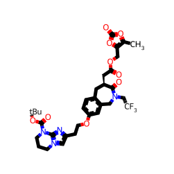 Cc1oc(=O)oc1COC(=O)C[C@@H]1Cc2ccc(OCCc3cn4c(n3)N(C(=O)OC(C)(C)C)CCC4)cc2CN(CC(F)(F)F)C1=O